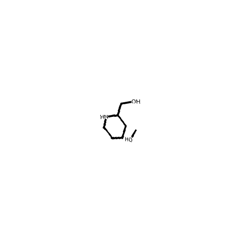 CO.OCC1CCCCN1